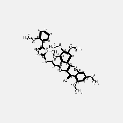 COc1cc(OC)c2c(=O)c(OCCCSc3nnc(-c4ccccc4OC)o3)c(-c3cc(OC)c(OC)c(OC)c3)oc2c1